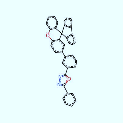 c1ccc(-c2nnc(-c3cccc(-c4ccc5c(c4)C4(c6ccccc6O5)c5ccccc5-c5ccccc54)c3)o2)cc1